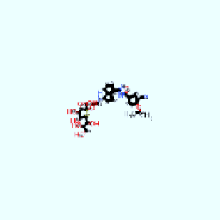 CC(C)Oc1ccc(-c2nc(-c3cccc4c3CC[C@@H]4NCCO[C@]3(CO)S[C@@H](C(O)[C@@H](O)CO)[C@H](O)[C@@H](O)[C@@H]3O)no2)cc1C#N